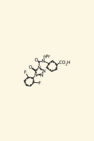 CCCN(C(=O)n1nnn(-c2c(F)cccc2F)c1=O)c1cccc(C(=O)O)c1